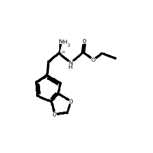 CCOC(=O)N[C@H](N)Cc1ccc2c(c1)OCO2